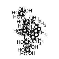 C[C@H](CC[C@@H](O[C@@H]1O[C@H](CO[C@H]2O[C@H](CO)[C@@H](O)[C@H](O)[C@H]2O)[C@@H](O)[C@H](O)[C@H]1O[C@@H]1O[C@H](CO)[C@@H](O)[C@H](O)[C@H]1O)C(C)(C)O)C1CC[C@@]2(C)C3CC=C4C(CC[C@H](O[C@@H]5O[C@H](CCO)[C@@H](O)[C@H](O[C@@H]6O[C@H](CO)[C@@H](O)[C@H](O)[C@H]6O)[C@H]5O)C4(C)C)[C@]3(C)[C@H](O)C[C@]12C